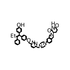 CC/C(=C(\c1ccc(O)cc1)c1ccc(OCc2ccc(CN3CCN(c4ccc5c(c4)CN(C4CCC(=O)NC4=O)C5)CC3)nn2)cc1)c1ccccc1